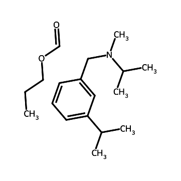 CC(C)c1cccc(CN(C)C(C)C)c1.CCCOC=O